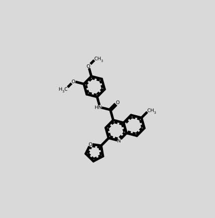 COc1ccc(NC(=O)c2cc(-c3ccco3)nc3ccc(C)cc23)cc1OC